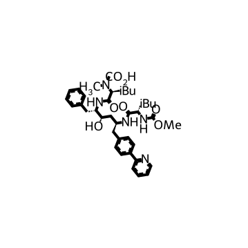 CCC(C)[C@H](NC(=O)OC)C(=O)N[C@@H](Cc1ccc(-c2ccccn2)cc1)C[C@H](O)[C@H](Cc1ccccc1)NC(=O)[C@H](C(C)CC)N(C)C(=O)O